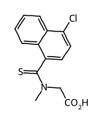 CN(CC(=O)O)C(=S)c1ccc(Cl)c2ccccc12